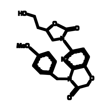 COc1ccc(CN2C(=O)COc3ccc(N4CC(CCO)OC4=O)nc32)cc1